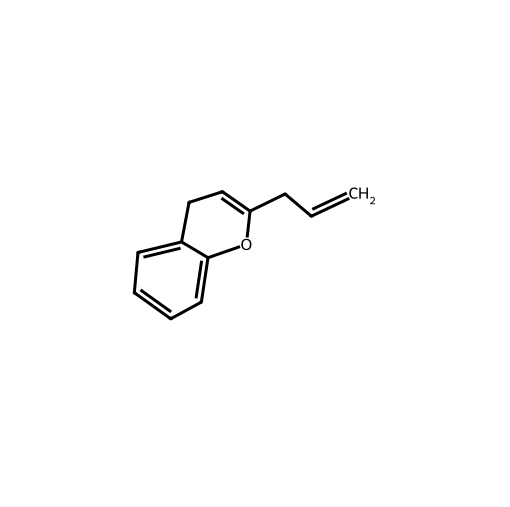 C=CCC1=CCc2ccccc2O1